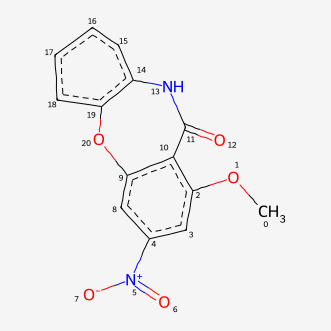 COc1cc([N+](=O)[O-])cc2c1C(=O)Nc1ccccc1O2